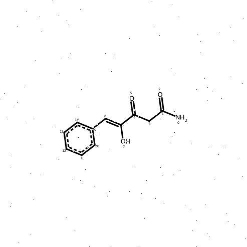 NC(=O)CC(=O)C(O)=Cc1ccccc1